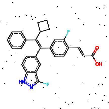 O=C(O)C=Cc1ccc(C(=C(c2ccccc2)C2CCC2)c2ccc3[nH]nc(F)c3c2)cc1F